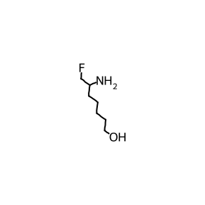 NC(CF)CCCCCO